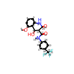 COc1cccc2c1C(O)C(C(=O)N(C)c1ccc(C(F)(F)F)cc1)C(=O)N2